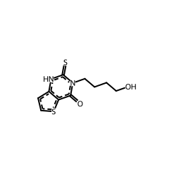 O=c1c2sccc2[nH]c(=S)n1CCCCO